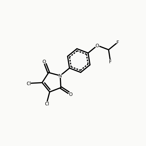 O=C1C(Cl)=C(Cl)C(=O)N1c1ccc(OC(F)F)cc1